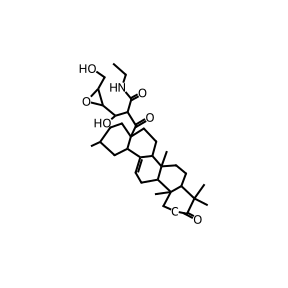 CCNC(=O)C(C(=O)C12CCC(C)CC1C1=CCC3C(C)(CCC4C(C)(C)C(=O)CCC43C)C1CC2)C(O)C1OC1CO